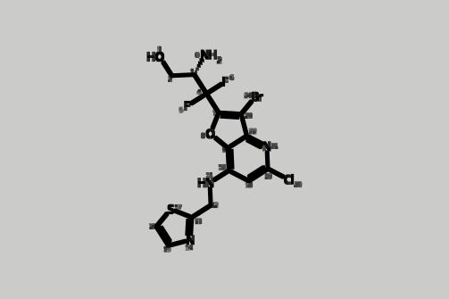 N[C@@H](CO)C(F)(F)c1oc2c(NCc3nccs3)cc(Cl)nc2c1Br